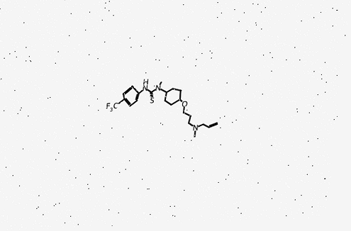 C=CCN(C)CCCOC1CCC(N(C)C(=S)Nc2ccc(C(F)(F)F)cc2)CC1